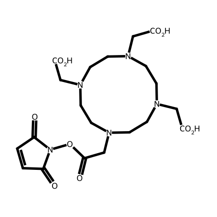 O=C(O)CN1CCN(CC(=O)O)CCN(CC(=O)ON2C(=O)C=CC2=O)CCN(CC(=O)O)CC1